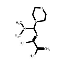 C=C(C)C(C)=NC(N(C)C)N1CCOCC1